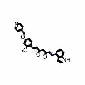 COc1cc(OCc2ccncc2)ccc1/C=C/C(=O)CC(=O)/C=C/c1cccc2[nH]ccc12